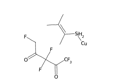 CC(C)=C(C)[SiH2][Cu].O=C(CF)C(F)(F)C(=O)C(F)(F)F